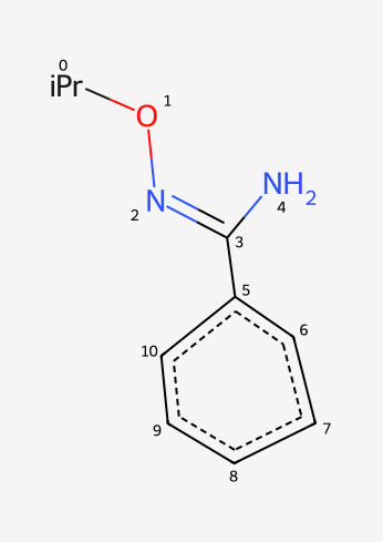 CC(C)ON=C(N)c1ccccc1